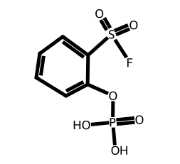 O=P(O)(O)Oc1ccccc1S(=O)(=O)F